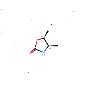 C[C@@H]1OC(=O)N[C@@H]1C